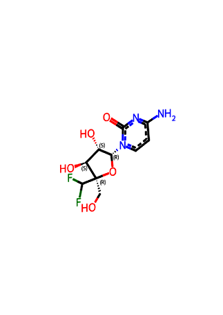 Nc1ccn([C@@H]2O[C@@](CO)(C(F)F)[C@@H](O)[C@@H]2O)c(=O)n1